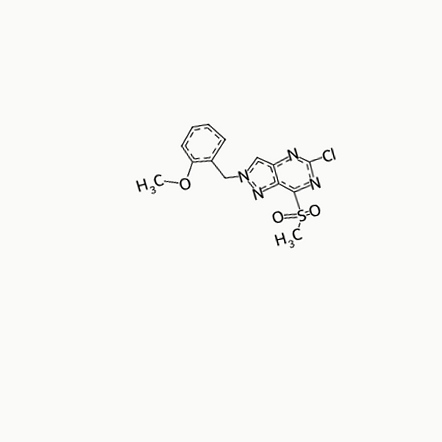 COc1ccccc1Cn1cc2nc(Cl)nc(S(C)(=O)=O)c2n1